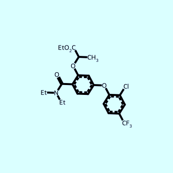 CCOC(=O)C(C)Oc1cc(Oc2ccc(C(F)(F)F)cc2Cl)ccc1C(=O)N(CC)CC